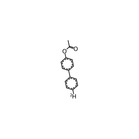 [2H]c1ccc(-c2ccc(OC(C)=O)cc2)cc1